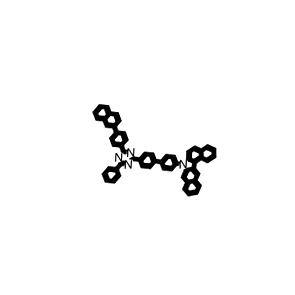 c1ccc(-c2nc(-c3ccc(-c4ccc(-n5c6cc7ccccc7cc6c6c7ccccc7ccc65)cc4)cc3)nc(-c3ccc(-c4ccc5ccccc5c4)cc3)n2)cc1